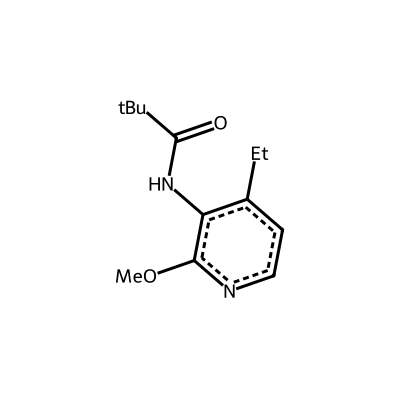 CCc1ccnc(OC)c1NC(=O)C(C)(C)C